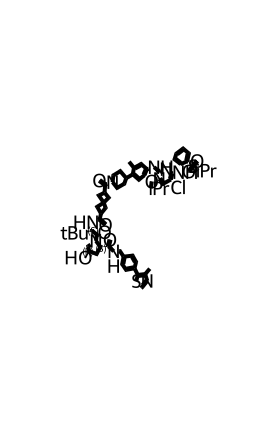 Cc1cc(Nc2ncc(Cl)c(Nc3ccccc3S(=O)(=O)C(C)C)n2)c(OC(C)C)cc1C1CCN(C(=O)C2CC3(CC(C(=O)N[C@H](C(=O)N4C[C@H](O)C[C@H]4C(=O)NCc4ccc(-c5scnc5C)cc4)C(C)(C)C)C3)C2)CC1